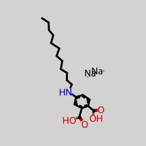 CCCCCCCCCCCCNc1ccc(C(=O)O)c(C(=O)O)c1.[Na].[Na]